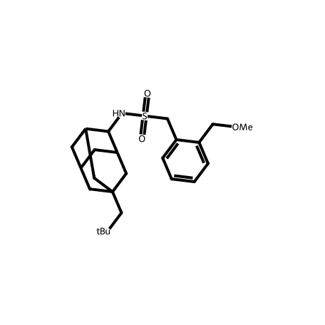 COCc1ccccc1CS(=O)(=O)NC1C2CC3CC1CC(CC(C)(C)C)(C3)C2